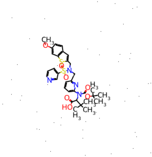 COc1ccc2cc(CN(Cc3cccc(N(C(=O)OC(C)(C)C)C(C(=O)O)C(C)(C)C)n3)S(=O)(=O)c3cccnc3)sc2c1